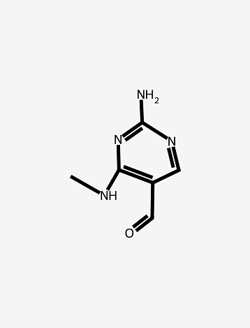 CNc1nc(N)ncc1C=O